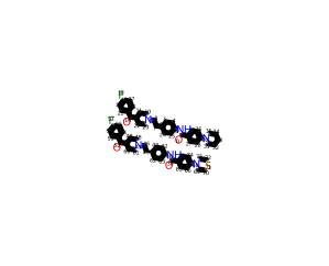 O=C(NC1CCC(CCN2CCC(C(=O)c3ccc(F)cc3)CC2)CC1)c1ccc(N2CCCCC2)cc1.O=C(N[C@H]1CC[C@H](CCN2CCC(C(=O)c3ccc(F)cc3)CC2)CC1)c1ccc(N2CCSCC2)cc1